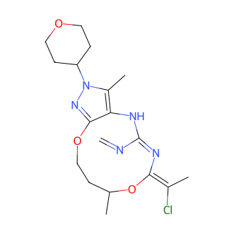 C=N/C1=N\C(=C(/C)Cl)OC(C)CCOc2nn(C3CCOCC3)c(C)c2N1